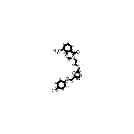 Cc1cccc2c(=O)n(CCSc3nnc(COc4ccc(Cl)cc4)o3)cnc12